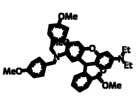 CCN(CC)c1ccc2c(c1)Oc1cc(OC)c(N(Cc3ccc(OC)cc3)Cc3ccc(OC)cc3)cc1C2c1ccccc1C(=O)OC